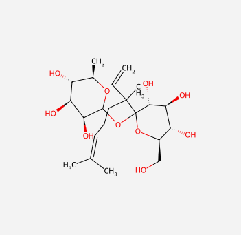 C=CC(C)(CCC=C(C)C)C1(OC2O[C@H](C)[C@@H](O)[C@H](O)[C@@H]2O)O[C@H](CO)[C@@H](O)[C@H](O)[C@H]1O